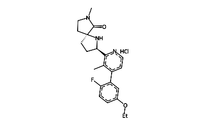 CCOc1ccc(F)c(-c2ccnc([C@H]3CC[C@@]4(CCN(C)C4=O)N3)c2C)c1.Cl